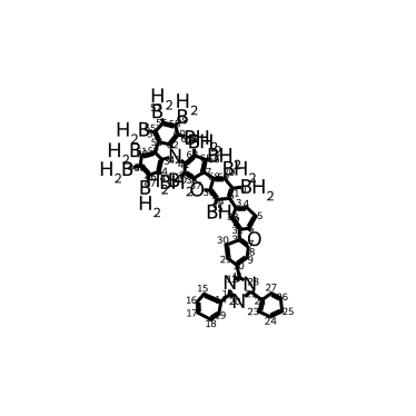 Bc1c(-c2ccc3oc4cc(-c5nc(-c6ccccc6)nc(-c6ccccc6)n5)ccc4c3c2)c(B)c2oc3c(B)c(-n4c5c(B)c(B)c(B)c(B)c5c5c(B)c(B)c(B)c(B)c54)c(B)c(B)c3c2c1B